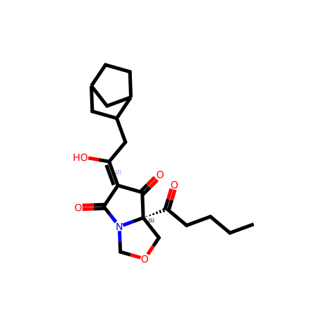 CCCCC(=O)[C@]12COCN1C(=O)/C(=C(\O)CC1CC3CCC1C3)C2=O